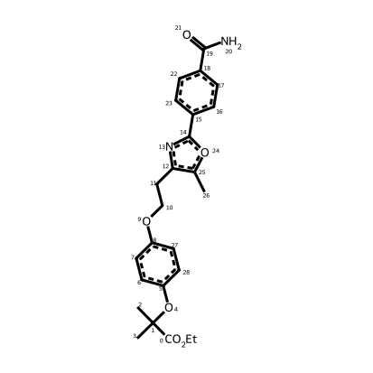 CCOC(=O)C(C)(C)Oc1ccc(OCCc2nc(-c3ccc(C(N)=O)cc3)oc2C)cc1